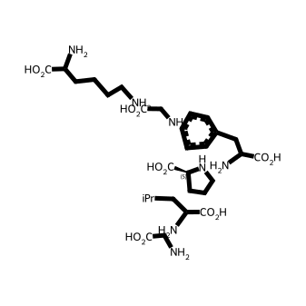 CC(C)CC(N)C(=O)O.NC(Cc1ccccc1)C(=O)O.NCC(=O)O.NCC(=O)O.NCCCCC(N)C(=O)O.O=C(O)[C@@H]1CCCN1